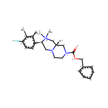 Cc1c([C@@H]2CN3CCN(C(=O)OCc4ccccc4)C[C@H]3C[N+]2(C(=O)O)C(C)(C)C)ccc(F)c1C#N